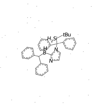 CC(C)(C)[SiH2]C(c1ccccc1)(c1ccccc1)n1ccnc1BC(c1ccccc1)c1ccccc1